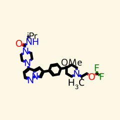 COC1(C2C=CC(c3cc4c(N5CCN(C(=O)NC(C)C)CC5)ccnn4c3)=CC2)CCN([C@H](C)COC(F)F)CC1